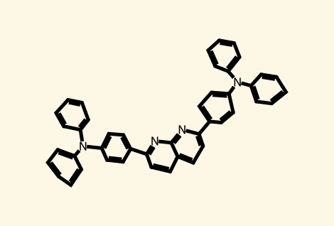 c1ccc(N(c2ccccc2)c2ccc(-c3ccc4ccc(-c5ccc(N(c6ccccc6)c6ccccc6)cc5)nc4n3)cc2)cc1